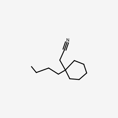 CCCCC1(CC#N)CCCCC1